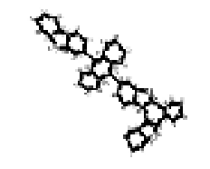 c1ccc2c(c1)oc1c3ccccc3c3oc4cc(-c5c6ccccc6c(-c6ccc7c(c6)sc6ccccc67)c6ccccc56)ccc4c3c21